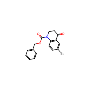 CCc1ccc2c(c1)C(=O)CCN2C(=O)OCc1ccccc1